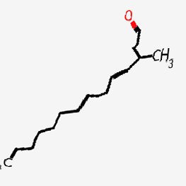 CCCCCCCCCC=CC(C)CC=O